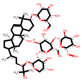 C[C@H](CC[C@@H](O[C@@H]1OC[C@@H](O)[C@H](O)[C@H]1O[C@H]1O[C@@H](CO)[C@H](O[C@H]2O[C@@H](OO)[C@H](O)[C@@H](O)[C@@H]2O)[C@@H](O)[C@@H]1O)C(C)(C)O)C1CC[C@@]2(C)C3CC=C4C(CC[C@H](O[C@@H]5O[C@H](CO)[C@@H](O)[C@H](O)[C@H]5O)C4(C)C)[C@]3(C)[C@H](O)C[C@]12C